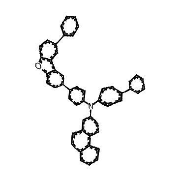 c1ccc(-c2ccc(N(c3ccc(-c4ccc5oc6ccc(-c7ccccc7)cc6c5c4)cc3)c3ccc4c(ccc5ccccc54)c3)cc2)cc1